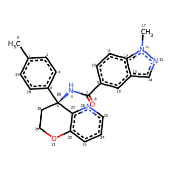 Cc1ccc([C@@]2(NC(=O)c3ccc4c(cnn4C)c3)CCOc3cccnc32)cc1